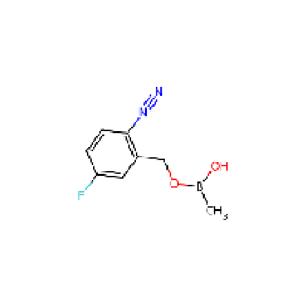 CB(O)OCc1cc(F)ccc1[N+]#N